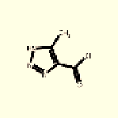 Cc1[nH]nnc1C(=O)Cl